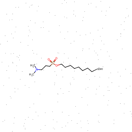 CCCCCCCCCCCCCCCCCCOS(=O)(=O)CCCN(C)C